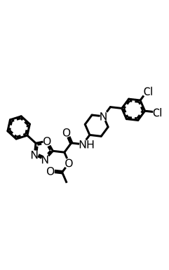 CC(=O)OC(C(=O)NC1CCN(Cc2ccc(Cl)c(Cl)c2)CC1)c1nnc(-c2ccccc2)o1